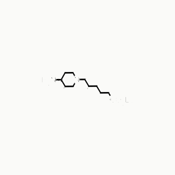 CCOC(=O)CCCCCN1CCC(N)CC1